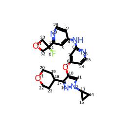 FC1(c2cc(Nc3cc(Oc4cn(C5CC5)nc4C4CCOCC4)ccn3)ccn2)COC1